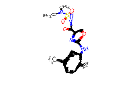 CCc1ccc(C(F)(F)F)cc1Nc1nc(C(=O)NS(=O)(=O)N(C)C)co1